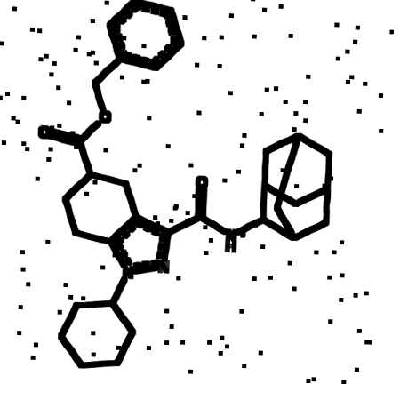 O=C(NC1C2CC3CC(C2)CC1C3)c1nn(C2CCCCC2)c2c1CC(C(=O)OCc1ccccc1)CC2